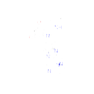 COc1cc(OC)cc(N(CCNC(C)C)c2ccc3ncc(CN(C)N4CCN(C)CC4)nc3c2)c1